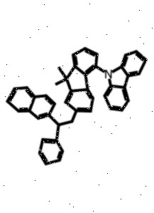 CC1(C)c2cc(CC(c3ccccc3)c3ccc4ccccc4c3)ccc2-c2c(-n3c4ccccc4c4ccccc43)cccc21